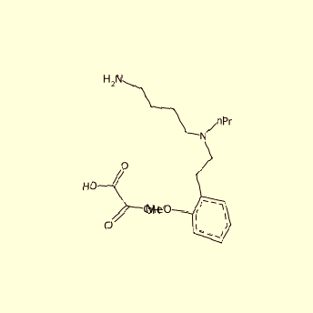 CCCN(CCCCN)CCc1ccccc1OC.O=C(O)C(=O)O